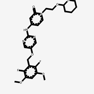 COc1cc(OC)c(F)c(COc2cnc(Nc3ccn(CCOC4CCCCO4)c(=O)c3)nc2)c1F